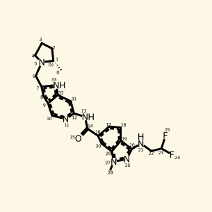 C[C@H]1CCCN1Cc1cc2cnc(NC(=O)c3ccc4c(NCC(F)F)nn(C)c4c3)cc2[nH]1